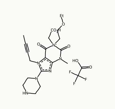 CC#CCn1c(N2CCNCC2)nc2c1C(=O)[N+](CCOCC)(CC(=O)O)C(=O)N2C.O=C(O)C(F)(F)F